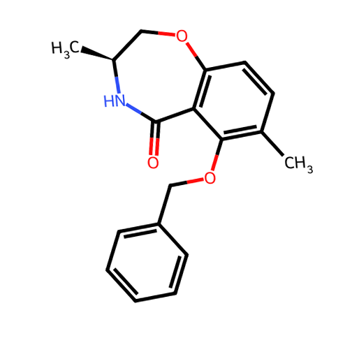 Cc1ccc2c(c1OCc1ccccc1)C(=O)N[C@@H](C)CO2